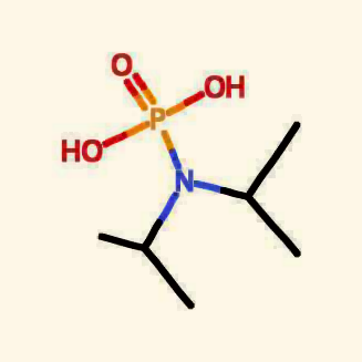 CC(C)N(C(C)C)P(=O)(O)O